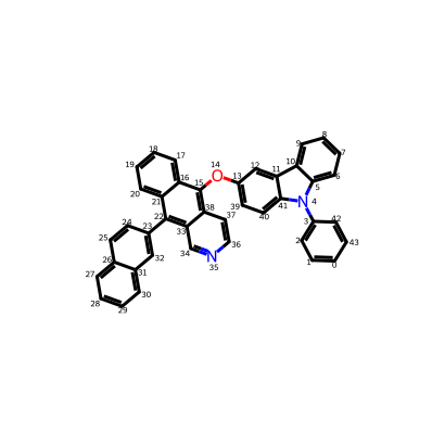 c1ccc(-n2c3ccccc3c3cc(Oc4c5ccccc5c(-c5ccc6ccccc6c5)c5cnccc45)ccc32)cc1